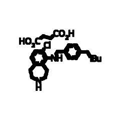 CCC(C)Cc1ccc(CNc2c(Cl)ccc3c2CCNCC3)cc1.O=C(O)CCC(=O)O